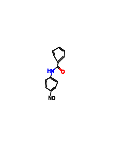 O=Nc1ccc(NC(=O)c2ccccc2)cc1